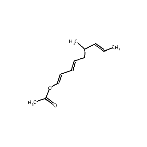 CC=CC(C)CC=CC=COC(C)=O